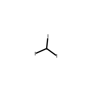 I[C](I)I